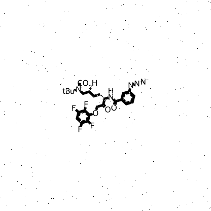 CC(C)(C)N(CCCC[C@H](NC(=O)c1cccc(N=[N+]=[N-])c1)C(=O)COc1c(F)c(F)cc(F)c1F)C(=O)O